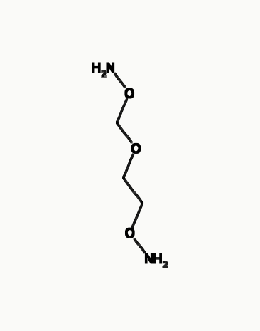 NOCCOCON